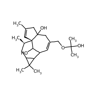 CC1=C[C@]23C(O)C(C=C(COC(C)(C)O)CC2(O)C1)C1C(C[C@H]3C)C1(C)C